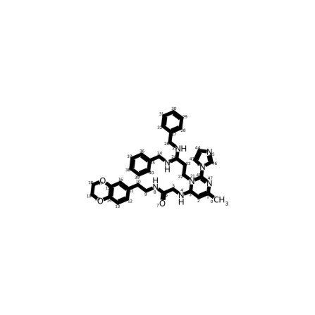 CC1=CC(NCC(=O)NCCc2ccc3c(c2)OCCO3)N(CCC(NCc2ccccc2)NCc2ccccc2)C(n2ccnc2)=N1